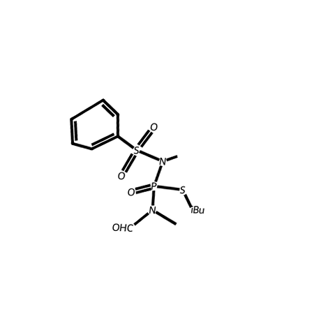 CCC(C)SP(=O)(N(C)C=O)N(C)S(=O)(=O)c1ccccc1